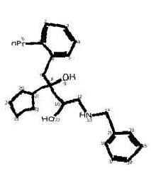 CCCc1ccccc1CC(O)(C(O)CNCc1ccccc1)C1CCCC1